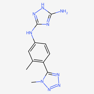 Cc1cc(Nc2n[nH]c(N)n2)ccc1-c1nnnn1C